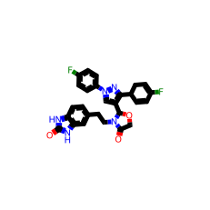 O=C1COC(c2cn(-c3ccc(F)cc3)nc2C2C=CC(F)=CC2)N1CCc1ccc2[nH]c(=O)[nH]c2c1